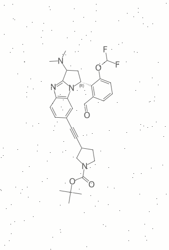 CN(C)C1C[C@H](c2c(C=O)cccc2OC(F)F)n2c1nc1ccc(C#CC3CCN(C(=O)OC(C)(C)C)C3)cc12